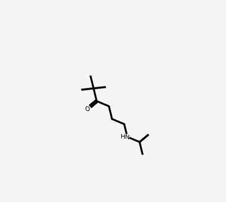 CC(C)NCCCC(=O)C(C)(C)C